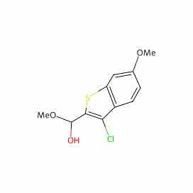 COc1ccc2c(Cl)c(C(O)OC)sc2c1